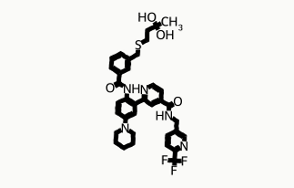 CC(O)(O)CCSCc1cccc(C(=O)Nc2ccc(N3CCCCC3)cc2-c2cc(C(=O)NCc3ccc(C(F)(F)F)nc3)ccn2)c1